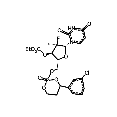 CCOC(=O)O[C@@H]1[C@@H](COP2(=O)OCCC(c3cccc(Cl)c3)O2)O[C@@H](n2ccc(=O)[nH]c2=O)[C@]1(C)F